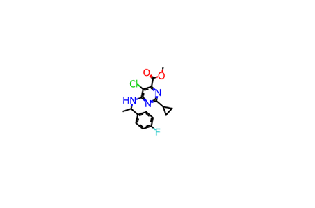 COC(=O)c1nc(C2CC2)nc(NC(C)c2ccc(F)cc2)c1Cl